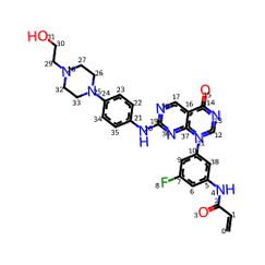 C=CC(=O)Nc1cc(F)cc(-n2cnc(=O)c3cnc(Nc4ccc(N5CCN(CCO)CC5)cc4)nc32)c1